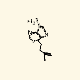 C=C(C)CCc1ncnc2c1ncn2N